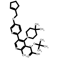 Cc1ncc(-c2ccc(OCC3=CCCC3)cn2)c(N2CCC(C)(C)CC2)c1[C@H](OC(C)(C)C)C(=O)O